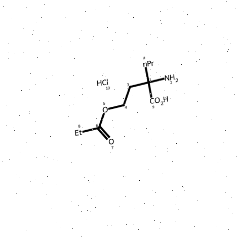 CCCC(N)(CCOC(=O)CC)C(=O)O.Cl